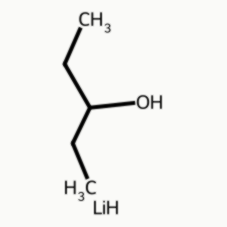 CCC(O)CC.[LiH]